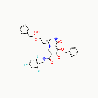 O=C(NCc1c(F)cc(F)cc1F)c1cn2c(c(OCc3ccccc3)c1=O)C(=O)NC[C@@H]2CCOC(O)Cc1ccccc1